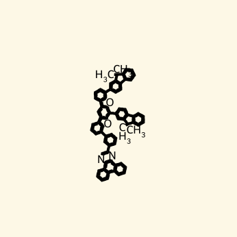 CC1(C)c2ccccc2-c2ccc(-c3cccc4c3oc3c(-c5ccc6c(c5)C(C)(C)c5ccccc5-6)c5oc6c(-c7cccc(-c8cnc9c%10ccccc%10c%10ccccc%10c9n8)c7)cccc6c5cc34)cc21